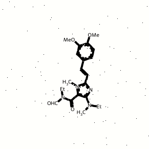 CCN(C=O)C(=O)c1c(N(C)CC)nc(/C=C/c2ccc(OC)c(OC)c2)n1C